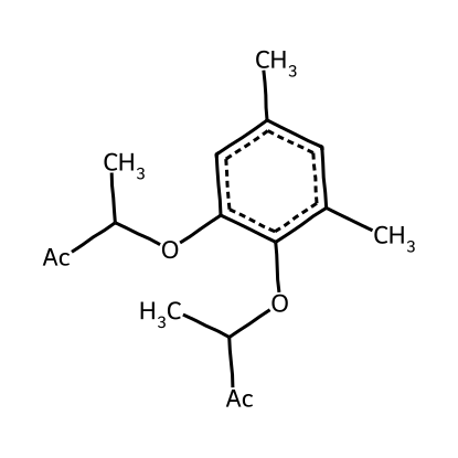 CC(=O)C(C)Oc1cc(C)cc(C)c1OC(C)C(C)=O